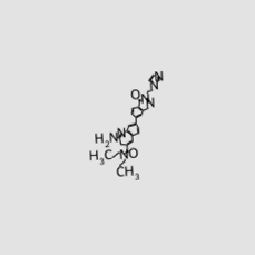 CCCN(CCC)C(=O)C1=Cc2ccc(-c3ccc4c(=O)n(CCn5ccnc5)ncc4c3)cc2N=C(N)C1